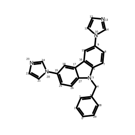 c1ccc(Cn2c3ccc(-n4ccnc4)cc3c3cc(-n4ccnc4)ccc32)cc1